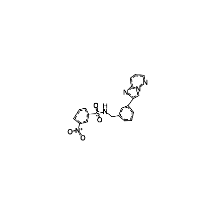 O=[N+]([O-])c1cccc(S(=O)(=O)NCc2cccc(-c3cn4ncccc4n3)c2)c1